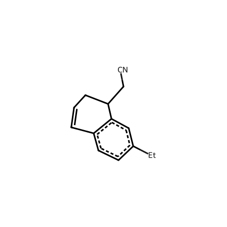 CCc1ccc2c(c1)C(CC#N)CC=C2